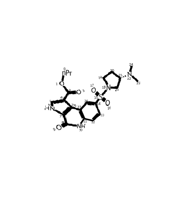 CCCOC(=O)c1c[nH]c2c(=O)[nH]c3ccc(S(=O)(=O)N4CC[C@H](N(C)C)C4)cc3c12